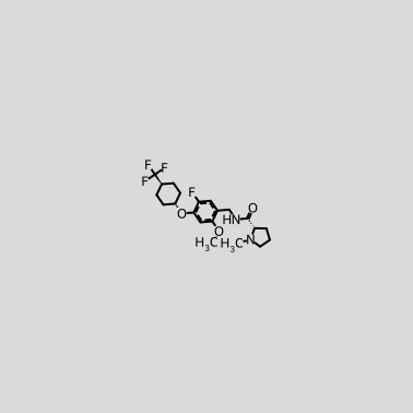 COc1cc(O[C@H]2CC[C@H](C(F)(F)F)CC2)c(F)cc1CNC(=O)[C@@H]1CCCN1C